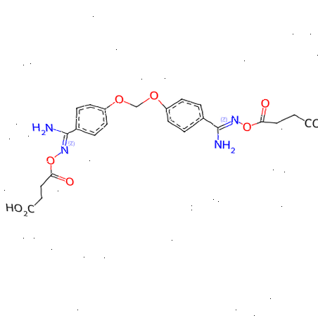 N/C(=N\OC(=O)CCC(=O)O)c1ccc(OCOc2ccc(/C(N)=N/OC(=O)CCC(=O)O)cc2)cc1